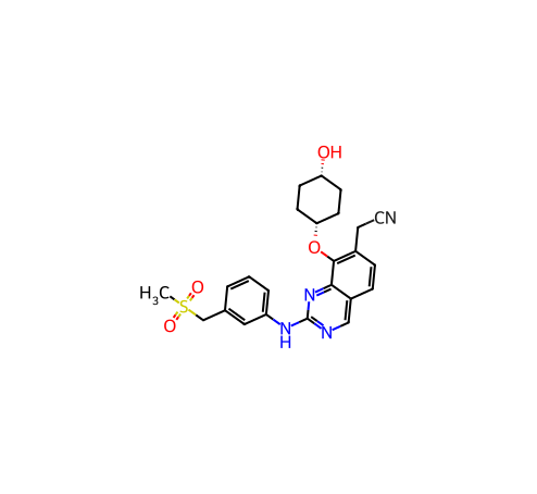 CS(=O)(=O)Cc1cccc(Nc2ncc3ccc(CC#N)c(O[C@H]4CC[C@@H](O)CC4)c3n2)c1